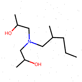 CCCC(C)CN(CC(C)O)CC(C)O